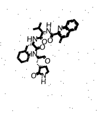 Cc1cc2ccccc2nc1C(=O)N[C@H](C(=O)N[C@@H](CC1CCCCC1)C(=O)N[C@H](C=O)C[C@@H]1CCNC1=O)C(C)C